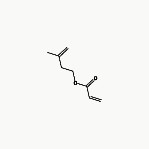 C=CC(=O)OCCC(=C)C